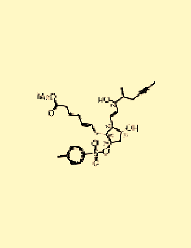 CC#CCC(C)[C@H](O)C=C[C@@H]1[C@@H](CC=CCCCC(=O)OC)[C@H](OS(=O)(=O)c2ccc(C)cc2)C[C@H]1O